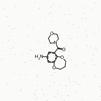 Nc1cc2c(c(C(=O)N3CCOCC3)c1)OCCCO2